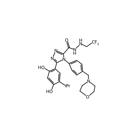 CC(C)c1cc(-c2nnc(C(=O)NNCC(F)(F)F)n2-c2ccc(CN3CCOCC3)cc2)c(O)cc1O